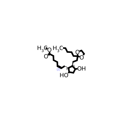 CCCCCC1(CC[C@H]2C(O)CC(O)[C@@H]2C/C=C\CCCC(=O)OC)OCCO1